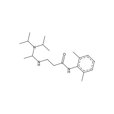 Cc1cccc(C)c1NC(=O)CCNC(C)N(C(C)C)C(C)C